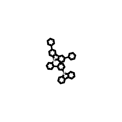 c1ccc(-c2ccc3c(c2)c2cc(-c4ccccc4)ccc2n3-c2ccccc2-c2cccc(-n3c4ccccc4c4ccccc43)c2)cc1